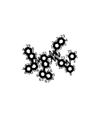 c1ccc(-n2c3ccccc3c3ccc(-c4nc(-c5ccc6ccccc6c5)nc(-c5ccc(-n6c7cc8ccccc8cc7c7c8ccccc8ccc76)c6cc(-c7cccc8ccccc78)ccc56)n4)cc32)cc1